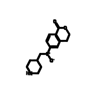 O=C1OCCc2cc([S+]([O-])CC3CCNCC3)ccc21